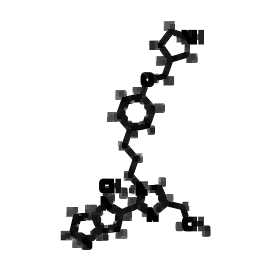 CCc1cn(CCCc2ccc(OCC3CCNC3)cc2)c(-c2cc3sccc3n2C)n1